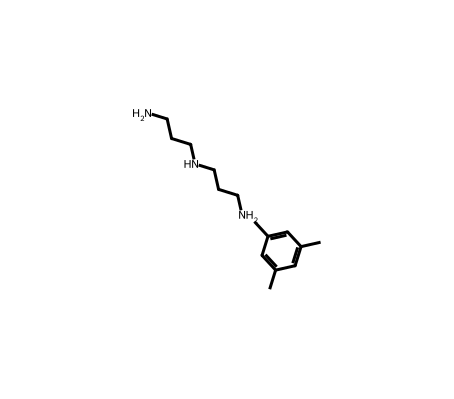 Cc1cc(C)cc(C)c1.NCCCNCCCN